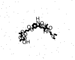 CCN(CC)CCNC(=O)c1c(C)[nH]c(/C=C2\C(=O)Nc3ccc(OC(=O)CCC(=O)OC(C)C(=O)OC(C)C(=O)O)cc32)c1C